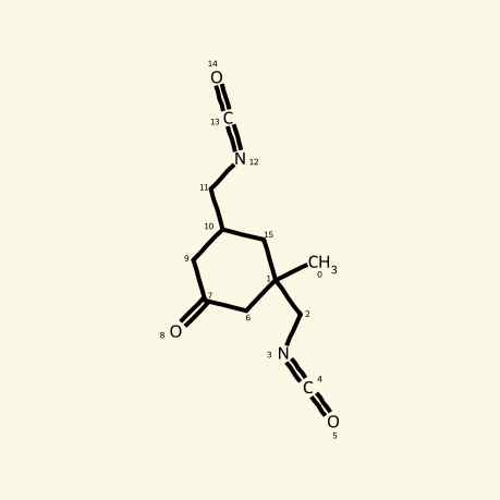 CC1(CN=C=O)CC(=O)CC(CN=C=O)C1